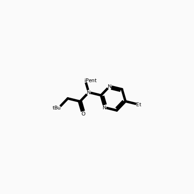 CCCC(C)N(C(=O)CC(C)(C)C)c1ncc(CC)cn1